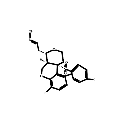 O=S(=O)(c1ccc(Cl)cc1)[C@@]12CCO[C@@H](C/C=N/O)[C@@H]1COc1c(F)ccc(F)c12